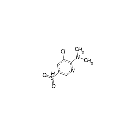 CN(C)c1ncc([SH](=O)=O)cc1Cl